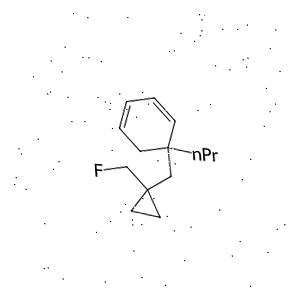 CCCC1(CC2(CF)CC2)C=CC=CC1